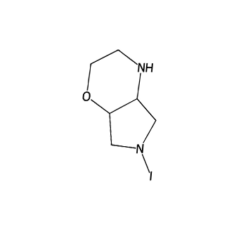 IN1CC2NCCOC2C1